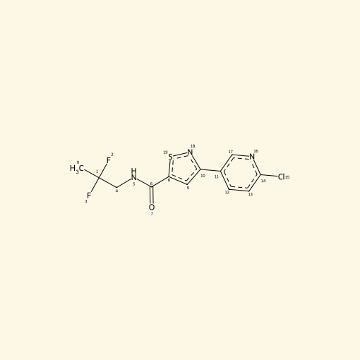 CC(F)(F)CNC(=O)c1cc(-c2ccc(Cl)nc2)ns1